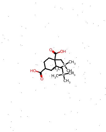 C[Si](C)(C)CC1CC(C(=O)O)CCC1(C[Si](C)(C)C)C(=O)O